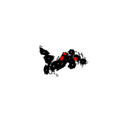 Cc1ccccc1N(c1ccc(-c2ccc(F)cc2)cc1)c1ccc2c(c1)C(C)(C)c1c-2ccc2c1C1(c3cc(N(c4ccc(-c5ccc(F)cc5)cc4)c4ccccc4C)c4c(c3-2)-c2ccccc2C4(C)C)C2CC3CC(C2)CC1C3